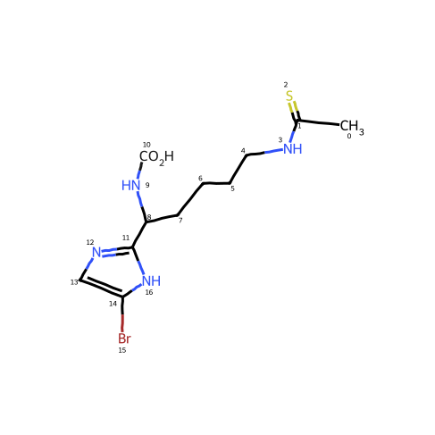 CC(=S)NCCCCC(NC(=O)O)c1ncc(Br)[nH]1